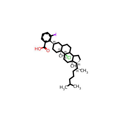 CC(C)CCC[C@@H](C)[C@H]1CCC2C3CCC4C[C@H](c5c(I)cccc5C(=O)O)CC[C@]4(C)[C@@]3(Cl)CC[C@@]21C